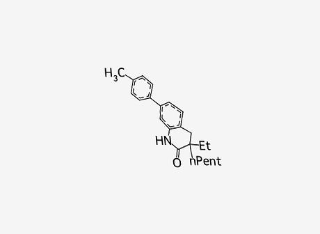 CCCCCC1(CC)Cc2ccc(-c3ccc(C)cc3)cc2NC1=O